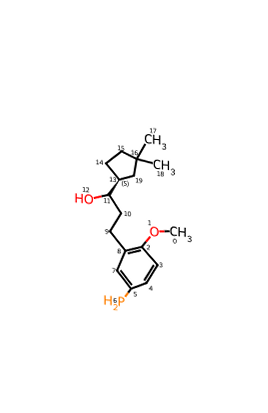 COc1ccc(P)cc1CCC(O)[C@H]1CCC(C)(C)C1